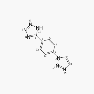 c1cn(-c2ccc(-c3nnn[nH]3)cc2)nn1